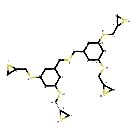 C(SCC1CC(SCC2CS2)CC(SC[C@@H]2CS2)C1)C1CC(SCC2CS2)CC(SCC2CS2)C1